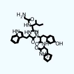 CCC(C)C(NC(=O)CN)C(=O)NC(Cc1c[nH]c2ccccc12)C(=O)NC(Cc1ccc(O)cc1)C(=O)NC(Cc1ccccc1)C(N)=O